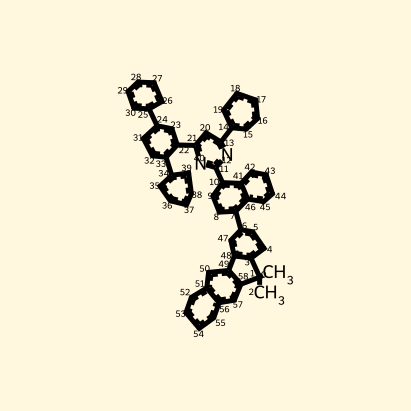 CC1(C)c2ccc(-c3ccc(-c4nc(-c5ccccc5)cc(-c5cc(-c6ccccc6)ccc5-c5ccccc5)n4)c4ccccc34)cc2-c2cc3ccccc3cc21